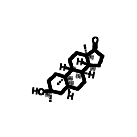 C[C@]1(O)CC[C@]2(C)[C@@H](CC[C@H]3[C@H]2CC[C@@]2(C)C(=O)CC[C@H]32)C1